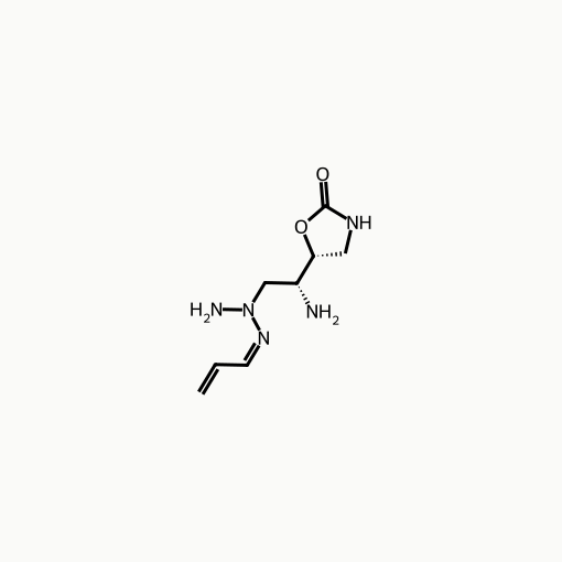 C=C/C=N\N(N)C[C@@H](N)[C@H]1CNC(=O)O1